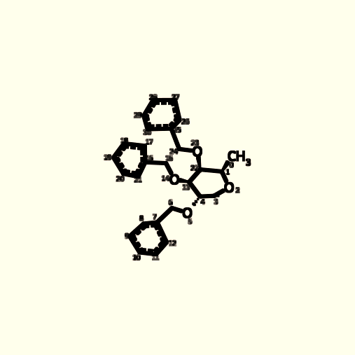 C[C@H]1O[CH][C@H](OCc2ccccc2)[C@@H](OCc2ccccc2)[C@H]1OCc1ccccc1